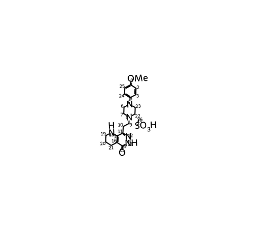 COc1ccc(N2CCN(CCc3n[nH]c(=O)c4c3NCCC4)CC2)cc1.CS(=O)(=O)O